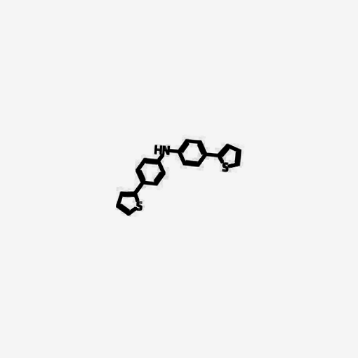 c1csc(-c2ccc(Nc3ccc(-c4cccs4)cc3)cc2)c1